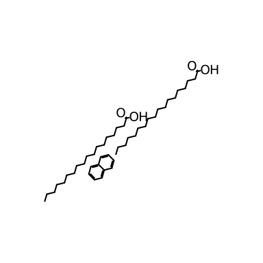 CCCCCCCCCCCCCCCCCC(=O)O.CCCCCCCCCCCCCCCCCC(=O)O.c1ccc2ccccc2c1